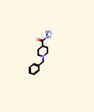 NNC(=O)C1CCN(Cc2ccccc2)CC1